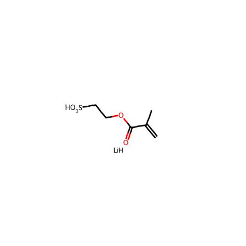 C=C(C)C(=O)OCCS(=O)(=O)O.[LiH]